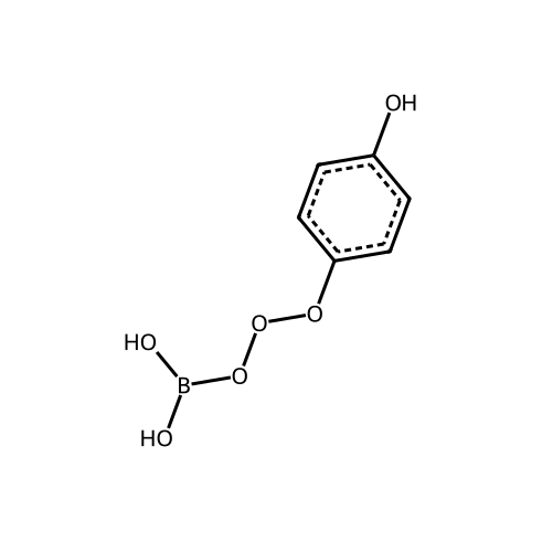 OB(O)OOOc1ccc(O)cc1